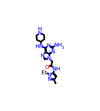 CCn1nc(C)cc1NC(=O)Cn1cnc2c(NC3CCNCC3)nc(N)nc21